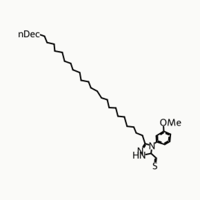 CCCCCCCCCCCCCCCCCCCCCCCCCCCCCCCCCC1=NNC(C=S)N1c1cccc(OC)c1